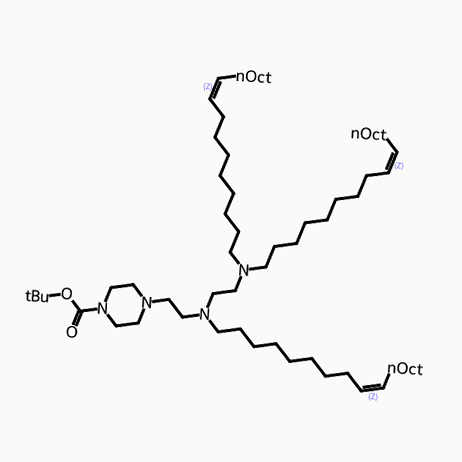 CCCCCCCC/C=C\CCCCCCCCN(CCCCCCCC/C=C\CCCCCCCC)CCN(CCCCCCCC/C=C\CCCCCCCC)CCN1CCN(C(=O)OC(C)(C)C)CC1